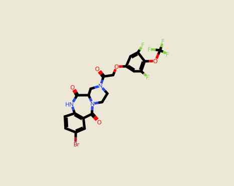 O=C1Nc2ccc(Br)cc2C(=O)N2CCN(C(=O)COc3cc(F)c(OC(F)(F)F)c(F)c3)CC12